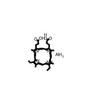 CCC1=C(C)c2cc3[nH]c(cc4nc(cc5[nH]c(cc1n2)c(C)c5CCC(=O)O)C(CCC(=O)O)=C4C)c(C)c3CC.[AlH3]